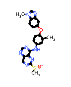 Cc1cc(Nc2ncnc3cnc([S+](C)[O-])nc23)ccc1Oc1ccc2c(c1)ncn2C